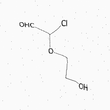 O=CC(Cl)OCCO